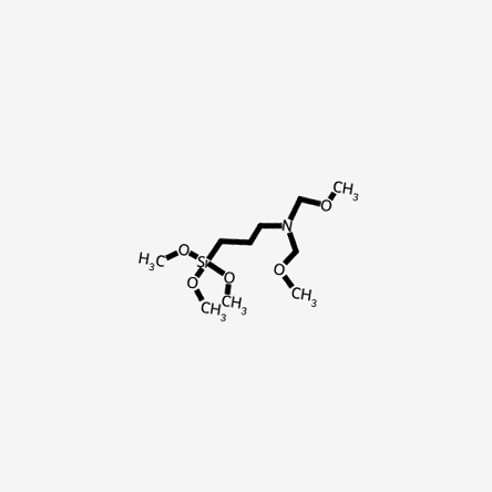 COCN(CCC[Si](OC)(OC)OC)COC